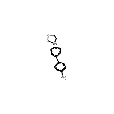 B1CCOO1.Nc1ccc(-c2ccccc2)cc1